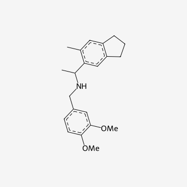 COc1ccc(CNC(C)c2cc3c(cc2C)CCC3)cc1OC